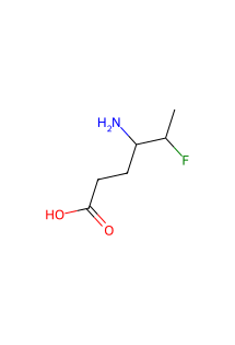 CC(F)C(N)CCC(=O)O